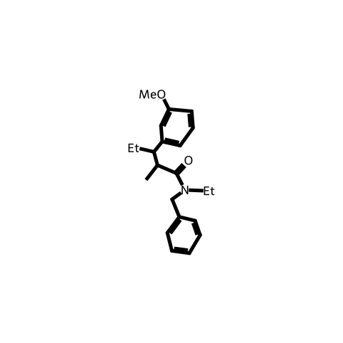 CCC(c1cccc(OC)c1)C(C)C(=O)N(CC)Cc1ccccc1